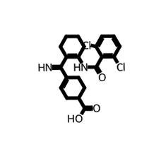 N=C(C1=CCC(C(=O)O)CC1)C1=C(NC(=O)c2c(Cl)cccc2Cl)CCCC1